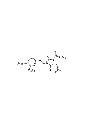 COC(=O)C1=C(C)N(CCc2ccc(OC)c(OC)c2)C(=O)C1C=[N+](C)[O-]